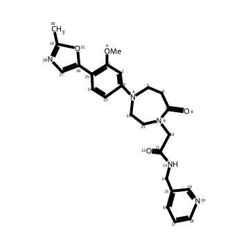 COc1cc(N2CCC(=O)N(CC(=O)NCc3cccnc3)CC2)ccc1-c1cnc(C)o1